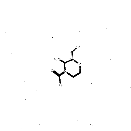 CC1[C@@H](CO)OCCN1C(=O)O